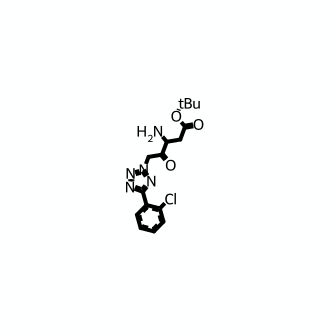 CC(C)(C)OC(=O)CC(N)C(=O)Cn1nnc(-c2ccccc2Cl)n1